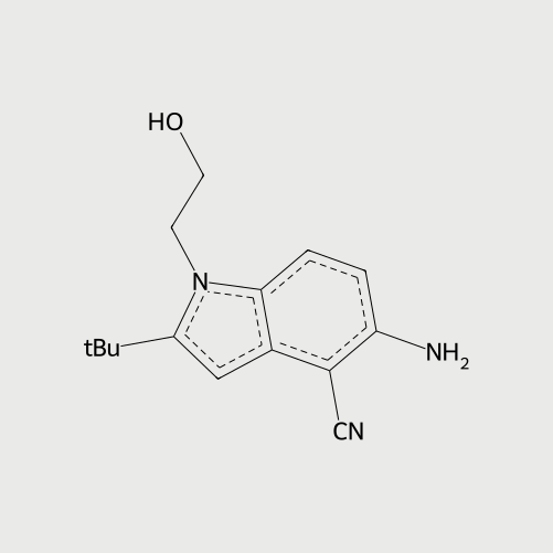 CC(C)(C)c1cc2c(C#N)c(N)ccc2n1CCO